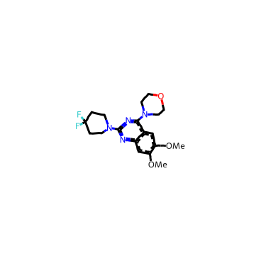 COc1cc2nc(N3CCC(F)(F)CC3)nc(N3CCOCC3)c2cc1OC